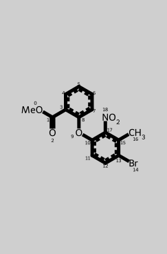 COC(=O)c1ccccc1Oc1ccc(Br)c(C)c1[N+](=O)[O-]